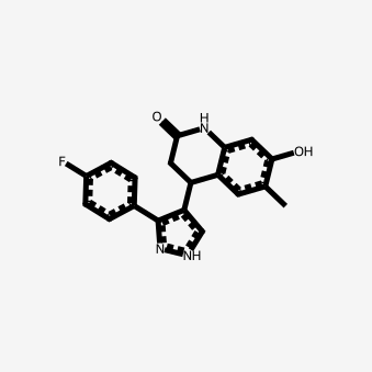 Cc1cc2c(cc1O)NC(=O)CC2c1c[nH]nc1-c1ccc(F)cc1